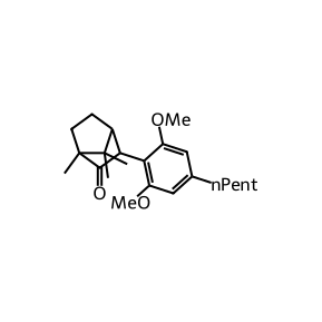 CCCCCc1cc(OC)c(C2C(=O)C3(C)CCC2C3(C)C)c(OC)c1